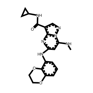 CNc1cc(Nc2cccc3c2OCCO3)nc2c(C(=O)NC3CC3)cnn12